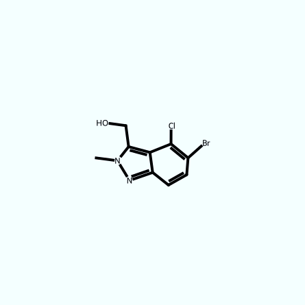 Cn1nc2ccc(Br)c(Cl)c2c1CO